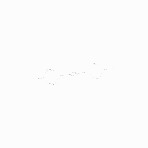 Cc1ccc(C#Cc2ccc(C)cc2)cc1